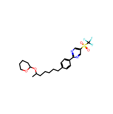 CC(CCCCCc1ccc(-c2ncc(S(=O)(=O)C(F)(F)F)cn2)cc1)OC1CCCCO1